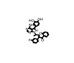 CC(c1oc2ccccc2c(=O)c1-c1cccc(F)c1)n1nc(-c2ccc(O)c(O)c2)c2c(N)ncnc21